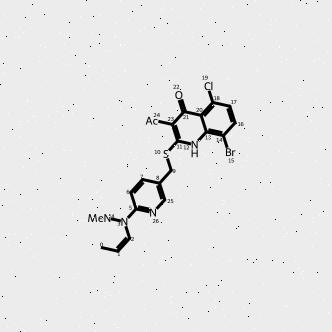 C/C=C\N(NC)c1ccc(CSc2[nH]c3c(Br)ccc(Cl)c3c(=O)c2C(C)=O)cn1